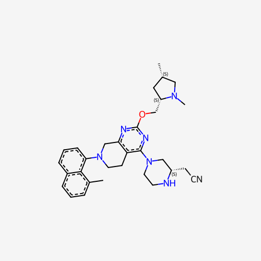 Cc1cccc2cccc(N3CCc4c(nc(OC[C@@H]5C[C@H](C)CN5C)nc4N4CCN[C@@H](CC#N)C4)C3)c12